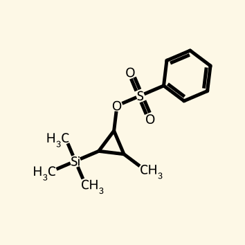 CC1C(OS(=O)(=O)c2ccccc2)C1[Si](C)(C)C